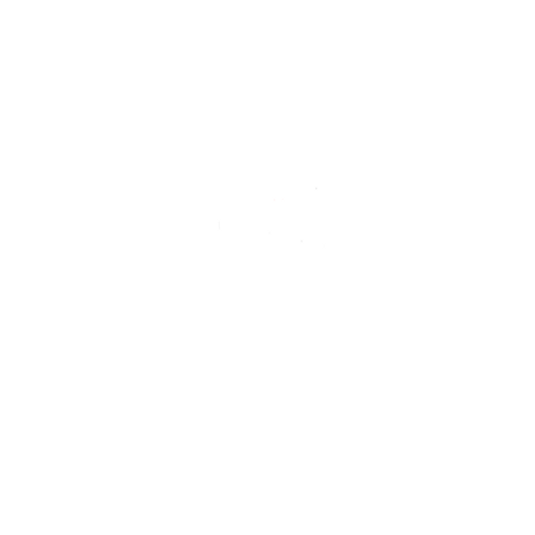 CC(C)(OC([O])=O)Oc1ccccc1